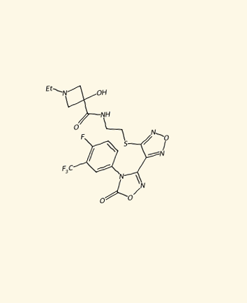 CCN1CC(O)(C(=O)NCCSc2nonc2-c2noc(=O)n2-c2ccc(F)c(C(F)(F)F)c2)C1